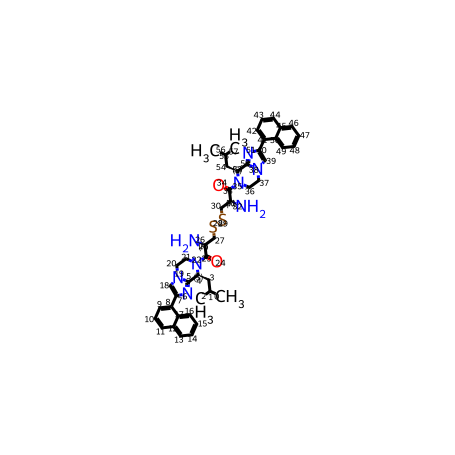 CC(C)C[C@H]1c2nc(-c3cccc4ccccc34)cn2CCN1C(=O)[C@@H](N)CSSC[C@H](N)C(=O)N1CCn2cc(-c3cccc4ccccc34)nc2[C@@H]1CC(C)C